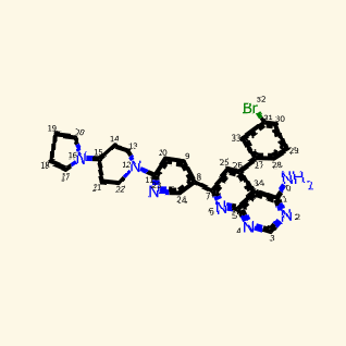 Nc1ncnc2nc(-c3ccc(N4CCC(N5CCCC5)CC4)nc3)cc(-c3cccc(Br)c3)c12